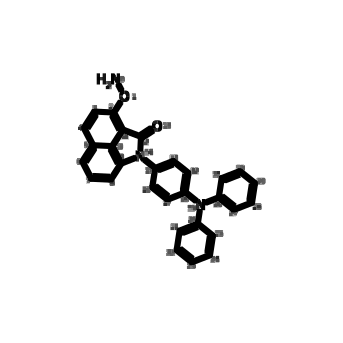 NOc1ccc2cccc3c2c1C(=O)N3c1ccc(N(c2ccccc2)c2ccccc2)cc1